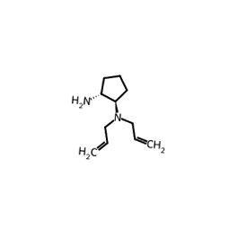 C=CCN(CC=C)[C@@H]1CCC[C@H]1N